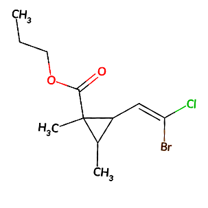 CCCOC(=O)C1(C)C(C)C1C=C(Cl)Br